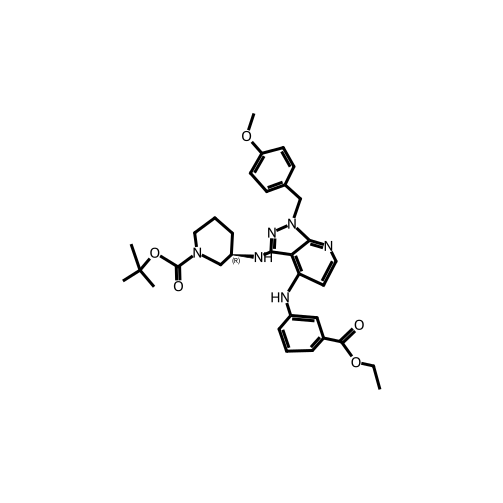 CCOC(=O)c1cccc(Nc2ccnc3c2c(N[C@@H]2CCCN(C(=O)OC(C)(C)C)C2)nn3Cc2ccc(OC)cc2)c1